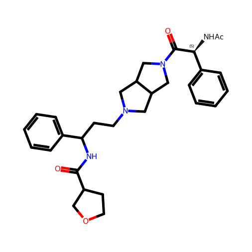 CC(=O)N[C@H](C(=O)N1CC2CN(CCC(NC(=O)C3CCOC3)c3ccccc3)CC2C1)c1ccccc1